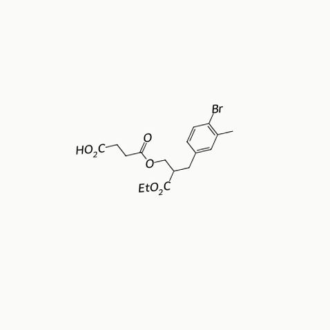 CCOC(=O)C(COC(=O)CCC(=O)O)Cc1ccc(Br)c(C)c1